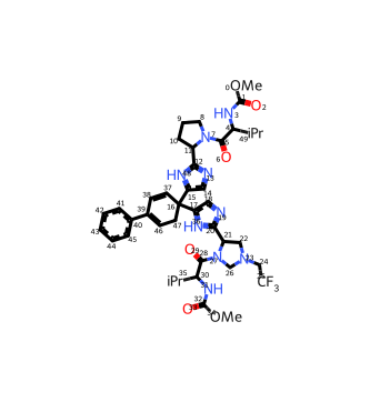 COC(=O)NC(C(=O)N1CCCC1c1ncc(C2(c3cnc(C4CN(CC(F)(F)F)CN4C(=O)C(NC(=O)OC)C(C)C)[nH]3)C=CC(c3ccccc3)=CC2)[nH]1)C(C)C